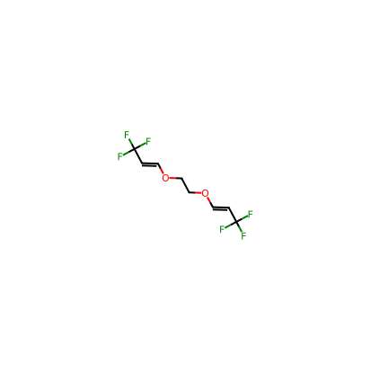 FC(F)(F)C=COCCOC=CC(F)(F)F